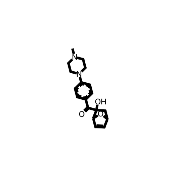 CN1CCN(c2ccc(C(=O)C3(O)CC4C=CC3O4)cc2)CC1